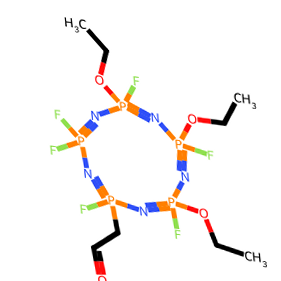 CCOP1(F)=NP(F)(CC=O)=NP(F)(F)=NP(F)(OCC)=NP(F)(OCC)=N1